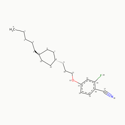 CCCCC[C@H]1CC[C@H](CCCOc2ccc(C#N)c(F)c2)CC1